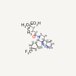 CC(C)(CCCC(=O)N1CCc2c(n(Cc3cccc(C(F)(F)F)c3)c3ncccc23)C1)C(=O)O